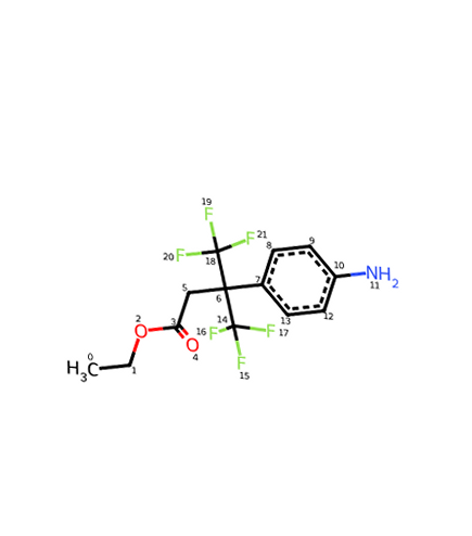 CCOC(=O)CC(c1ccc(N)cc1)(C(F)(F)F)C(F)(F)F